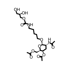 CC(=O)N[C@@H]1C[C@@H](OC(C)=O)[C@@H](COC(C)=O)O[C@H]1OCCCCCNC(=O)OC[C@H](O)CO